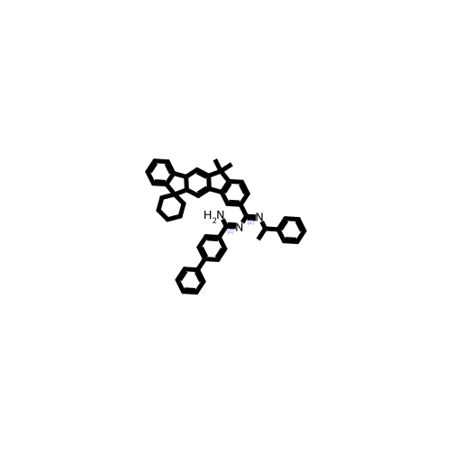 CC(/N=C(\N=C(/N)c1ccc(-c2ccccc2)cc1)c1ccc2c(c1)C1=CC3C(C=C1C2(C)C)c1ccccc1C31CCCCC1)c1ccccc1